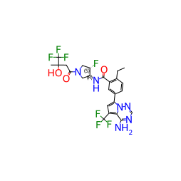 CCc1ccc(-c2cc(C(F)(F)F)c3c(N)ncnn23)cc1C(=O)N[C@@H]1CN(C(=O)CC(C)(O)C(F)(F)F)C[C@@H]1F